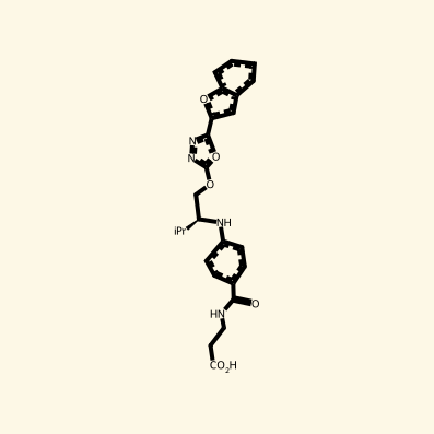 CC(C)[C@@H](COc1nnc(-c2cc3ccccc3o2)o1)Nc1ccc(C(=O)NCCC(=O)O)cc1